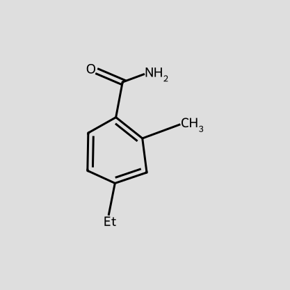 CCc1ccc(C(N)=O)c(C)c1